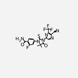 CC1(C)C(=O)N(c2cnc(C#N)c(C(F)(F)F)n2)C(=S)N1c1ccc(C(N)=O)c(F)c1